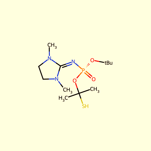 CN1CCN(C)C1=N[P@](=O)(OC(C)(C)C)OC(C)(C)S